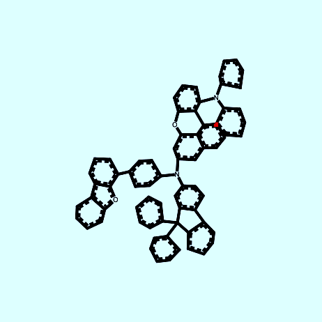 c1ccc(N(c2ccccc2)c2cccc3c2-c2cccc4cc(N(c5ccc(-c6cccc7c6oc6ccccc67)cc5)c5ccc6c(c5)C(c5ccccc5)(c5ccccc5)c5ccccc5-6)cc(c24)O3)cc1